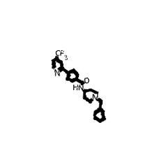 O=C(NC1CCN(Cc2ccccc2)CC1)c1ccc(-c2cc(C(F)(F)F)ccn2)cc1